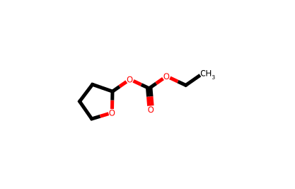 CCOC(=O)OC1CCCO1